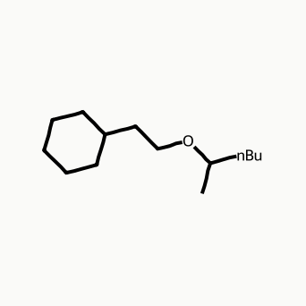 CCCCC(C)OCCC1CCCCC1